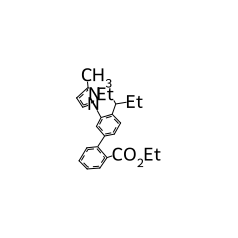 CCOC(=O)c1ccccc1-c1ccc(C(CC)CC)c(-n2ccc(C)n2)c1